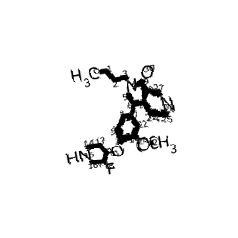 CCCCn1cc(-c2ccc(O[C@H]3CCNC[C@@H]3F)c(OC)c2)c2ccncc2c1=O